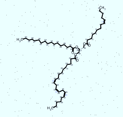 CCCC/C=C\CCCCCCCC(=O)OC[C@H](COC(=O)CCCCCCCC/C=C\C/C=C\C/C=C\CCCCC)OC(=O)CCCCCCCCCCCCCCCC